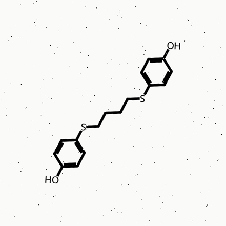 Oc1ccc(SCCCCSc2ccc(O)cc2)cc1